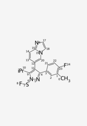 Cc1cc(-c2nn(SF)c(C(C)C)c2-c2ccc3nccn3c2)ccc1F